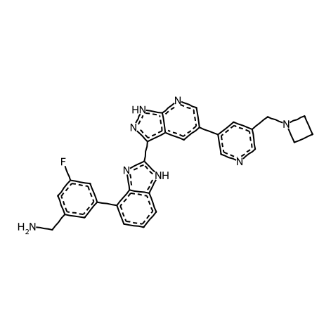 NCc1cc(F)cc(-c2cccc3[nH]c(-c4n[nH]c5ncc(-c6cncc(CN7CCC7)c6)cc45)nc23)c1